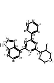 CC1COCCN1c1cc(-c2cccnc2)nc(-c2ccnc3[nH]ccc23)n1